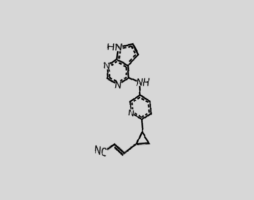 N#CC=CC1CC1c1ccc(Nc2ncnc3[nH]ccc23)cn1